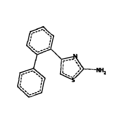 Nc1nc(-c2ccccc2-c2ccccc2)cs1